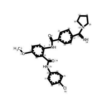 COc1ccc(NC(=O)c2ccc(C(=N)N3CCCC3)cc2)c(C(=O)Nc2ccc(Cl)cc2)c1